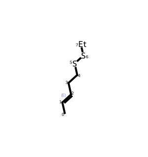 C/C=C/CCSSCC